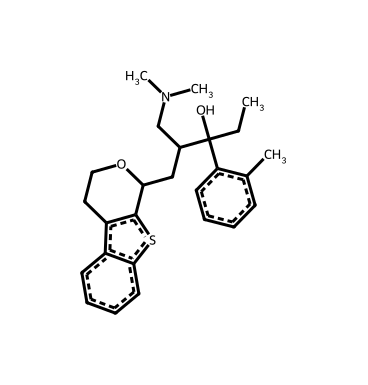 CCC(O)(c1ccccc1C)C(CC1OCCc2c1sc1ccccc21)CN(C)C